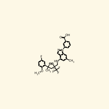 COc1ccc(F)cc1C(C)(C)C[C@](O)(CNc1cc(C)cc2c1cnn2-c1cccc(C(=O)O)c1)C(F)(F)F